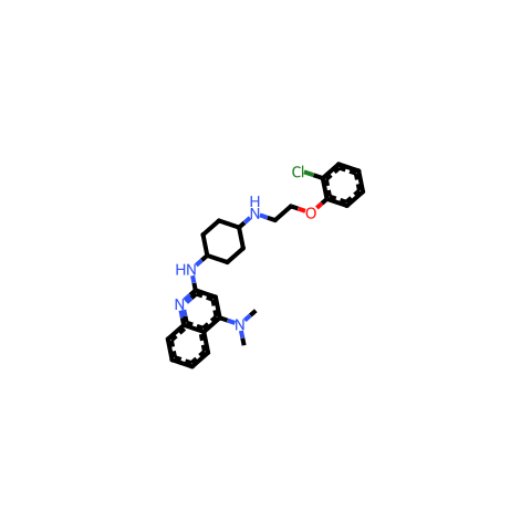 CN(C)c1cc(NC2CCC(NCCOc3ccccc3Cl)CC2)nc2ccccc12